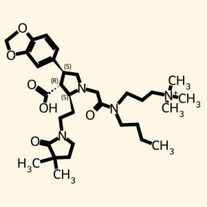 CCCCN(CCC[N+](C)(C)C)C(=O)CN1C[C@H](c2ccc3c(c2)OCO3)[C@@H](C(=O)O)[C@@H]1CCN1CCC(C)(C)C1=O